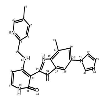 Cc1ccc(CNc2cc[nH]c(=O)c2-c2nc3c(C)cc(-n4ccnc4)cc3[nH]2)nc1